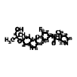 CC(C)(CO)Oc1ccc2c(Oc3c(F)cc(NC(=O)c4cnccc4Cl)cc3F)ccnc2c1